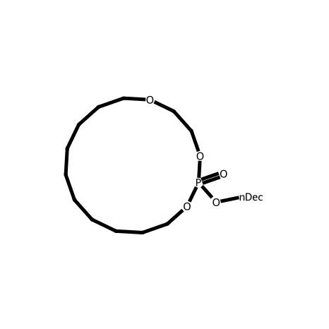 CCCCCCCCCCOP1(=O)OCCCCCCCCCCOCCO1